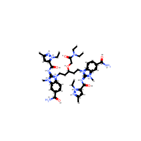 CCN(CC)C(=O)COC(CCn1c(=NC(=O)c2cc(C)nn2CC)n(C)c2cc(C(N)=O)ccc21)CCn1c(=NC(=O)c2cc(C)nn2CC)n(C)c2cc(C(N)=O)ccc21